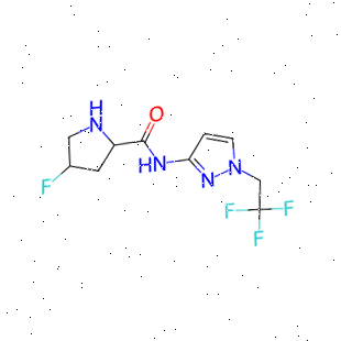 O=C(Nc1ccn(CC(F)(F)F)n1)C1CC(F)CN1